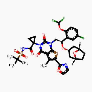 Cc1c(-c2ncco2)sc2c1c(=O)n(C1(C(=O)NS(=O)(=O)C(C)(C)C)CC1)c(=O)n2C[C@H](O[C@@H]1C[C@H]2CC[C@@H](C1)O2)c1cc(F)ccc1OC(F)F